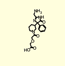 NCC1=NC(c2ccccc2)(C2CCCN(C(=O)COCC(=O)O)C2)C(=O)N1